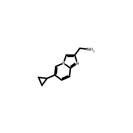 NCc1cn2cc(C3CC3)c[c]c2n1